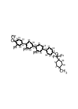 CC1CCC(C(F)(F)Oc2ccc(-c3ccc(-c4ccc(-c5ccc(OC(F)(F)F)c(F)c5)c(F)c4)c(F)c3)cc2)CC1